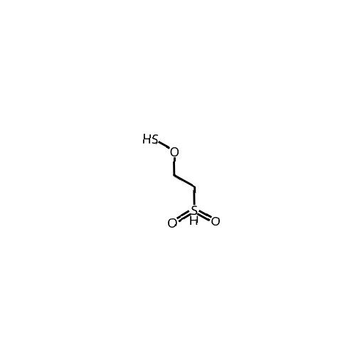 O=[SH](=O)CCOS